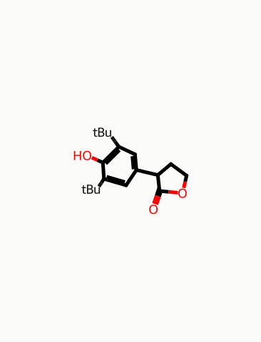 CC(C)(C)c1cc(C2CCOC2=O)cc(C(C)(C)C)c1O